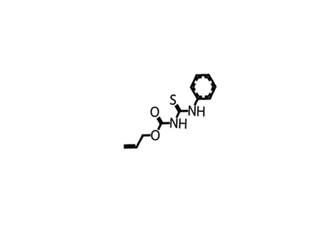 C=CCOC(=O)NC(=S)Nc1ccccc1